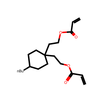 C=CC(=O)OCCC1(CCOC(=O)C=C)CCC(CCCC)CC1